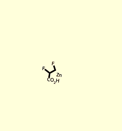 O=C(O)C(F)CF.[Zn]